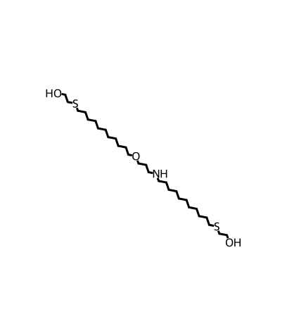 OCCSCCCCCCCCCCCNCCCOCCCCCCCCCCCSCCO